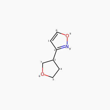 [c]1cc(C2CCOC2)no1